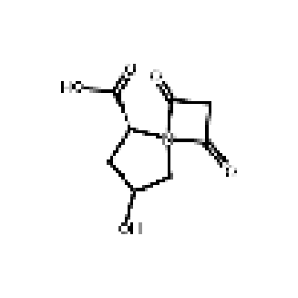 O=C(O)[C@@H]1CC(O)C[N+]12C(=O)CC2=O